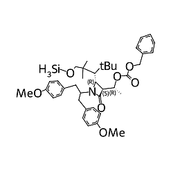 COc1ccc(CC(Cc2ccc(OC)cc2)N2C(=O)[C@H]([C@@H](C)OC(=O)OCc3ccccc3)[C@H]2C(C(C)(C)C)C(C)(C)CO[SiH3])cc1